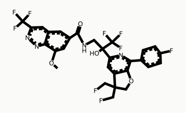 COc1cc(C(=O)NCC(O)(c2cc3c(c(-c4ccc(F)cc4)n2)OCC3(CF)CF)C(F)(F)F)cc2cc(C(F)(F)F)nnc12